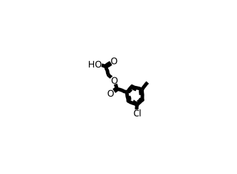 Cc1cc(Cl)cc(C(=O)OCC(=O)O)c1